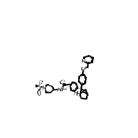 CS(=O)(=O)N1CCC(NC(=O)c2ccc([C@]3(c4ccc(OCc5ccccn5)cc4)CC4CC[C@@H]3C4)cc2)CC1